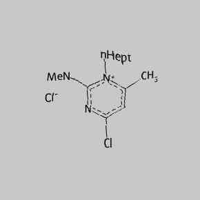 CCCCCCC[n+]1c(C)cc(Cl)nc1NC.[Cl-]